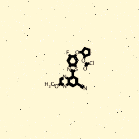 COc1cnc2c(-c3nc4cc(F)c(OC5CCCC5OC(=O)Cl)cc4s3)cc(C#N)cc2n1